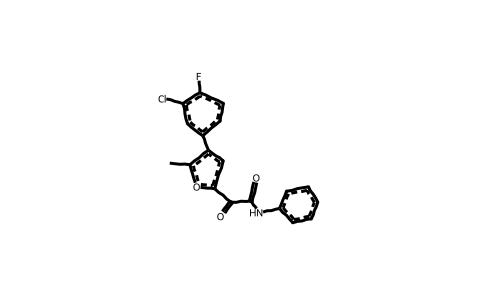 Cc1oc(C(=O)C(=O)Nc2ccccc2)cc1-c1ccc(F)c(Cl)c1